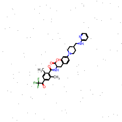 Cc1cc(C(=O)C(F)(F)F)cc(C)c1C(=O)NC(Cc1ccc(N2CCC(CNc3ccccn3)CC2)cc1)C(=O)O